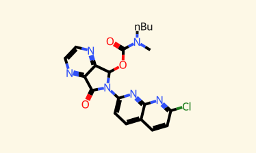 CCCCN(C)C(=O)OC1c2nccnc2C(=O)N1c1ccc2ccc(Cl)nc2n1